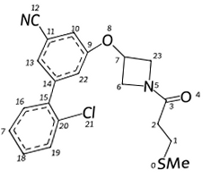 CSCCC(=O)N1CC(Oc2cc(C#N)cc(-c3ccccc3Cl)c2)C1